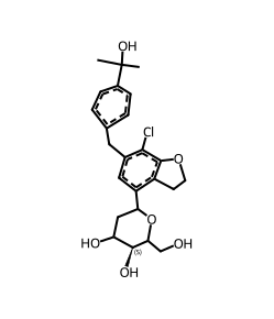 CC(C)(O)c1ccc(Cc2cc(C3CC(O)[C@H](O)C(CO)O3)c3c(c2Cl)OCC3)cc1